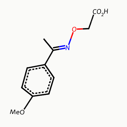 COc1ccc(/C(C)=N/OCC(=O)O)cc1